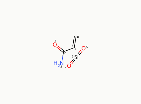 C=CC(N)=O.O=[Si]=O